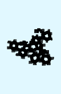 CCCc1ccccc1-c1cccc2c1C=C(C(C)(C)C)[CH]2[Zr]([c]1cccc2c1[SiH2]c1ccccc1-2)[CH]1C(C(C)(C)C)=Cc2c(-c3ccccc3CCC)cccc21